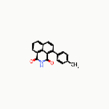 Cc1ccc(-c2ccc3cccc4c3c2C(=O)NC4=O)cc1